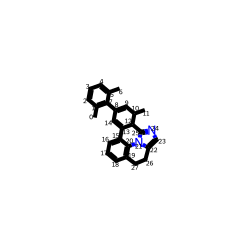 Cc1cccc(C)c1C1=CC(C)C2C(=C1)c1cccc3c1-n1c(cnc12)CC3